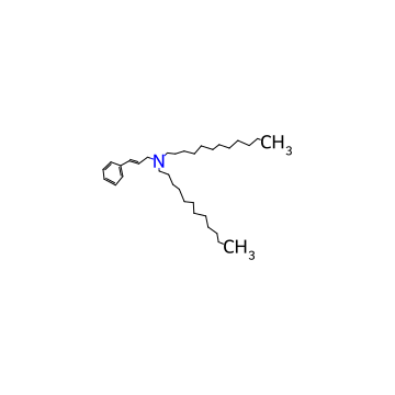 CCCCCCCCCCCCN(CC=Cc1ccccc1)CCCCCCCCCCCC